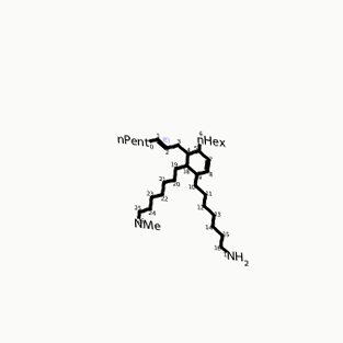 CCCCC/C=C/CC1C(CCCCCC)C=CC(CCCCCCCN)C1CCCCCCCNC